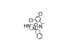 CC(c1cc(Cl)cc(Cl)c1)N(C)C(=O)C1(N2CCNCC2)Cc2ccccc2C1